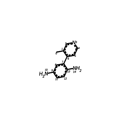 Cc1cnccc1-c1cc(N)ccc1N